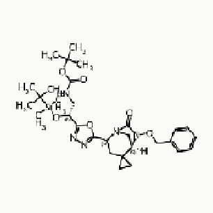 CC(C)(C)OC(=O)NC[C@@H](O[Si](C)(C)C(C)(C)C)c1nnc([C@@H]2CC3(CC3)[C@H]3CN2C(=O)N3OCc2ccccc2)o1